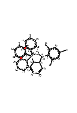 Cc1cc(C)c([C@@H]2OP(c3ccccc3)(c3ccccc3)(c3ccccc3)C3C=CC=CC32)c(C)c1